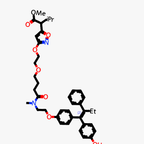 CC/C(=C(\c1ccc(O)cc1)c1ccc(OCCN(C)C(=O)CCCOCCOc2cc(C(C(=O)OC)C(C)C)on2)cc1)c1ccccc1